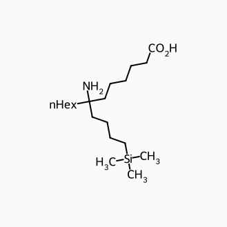 CCCCCCC(N)(CCCCCC(=O)O)CCCC[Si](C)(C)C